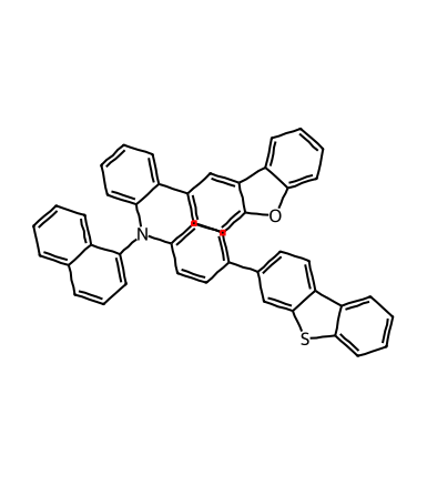 c1ccc(N(c2ccc(-c3ccc4c(c3)sc3ccccc34)cc2)c2cccc3ccccc23)c(-c2ccc3oc4ccccc4c3c2)c1